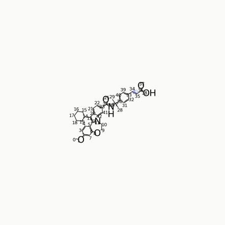 COc1ccc2c(c1)OCCn1c-2c(C2CCCCC2)c2ccc(C(=O)NC(C)(C)c3ccc(/C=C/C(=O)O)cc3)cc21